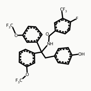 O=C(NC(Cc1ccc(O)cc1)(c1cccc(OC(F)(F)F)c1)c1cccc(OC(F)(F)F)c1)c1ccc(F)c(C(F)(F)F)c1